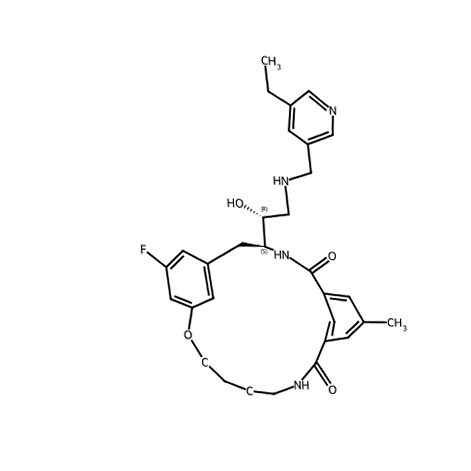 CCc1cncc(CNC[C@@H](O)[C@@H]2Cc3cc(F)cc(c3)OCCCCNC(=O)c3cc(C)cc(c3)C(=O)N2)c1